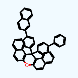 c1ccc(-c2ccc(C3(c4ccc(-c5ccc6ccccc6c5)cc4)c4c(ccc5ccccc45)Oc4ccc5ccccc5c43)cc2)cc1